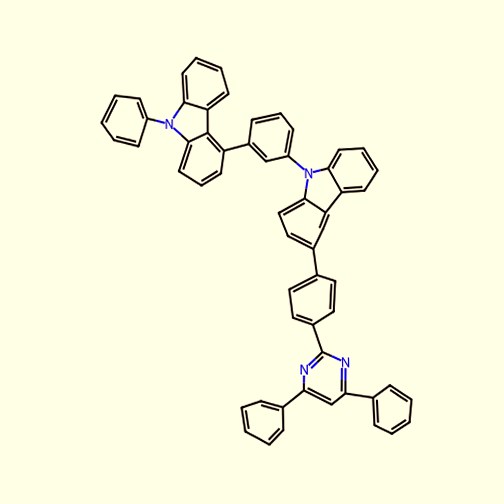 c1ccc(-c2cc(-c3ccccc3)nc(-c3ccc(-c4ccc5c(c4)c4ccccc4n5-c4cccc(-c5cccc6c5c5ccccc5n6-c5ccccc5)c4)cc3)n2)cc1